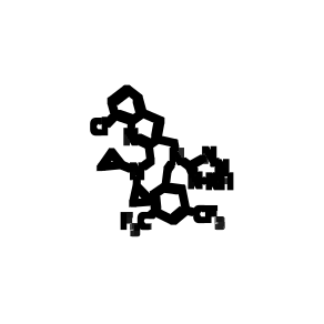 FC(F)(F)c1cc(CN(Cc2cc3cccc(Cl)c3nc2CN(C2CC2)C2CC2)c2nn[nH]n2)cc(C(F)(F)F)c1